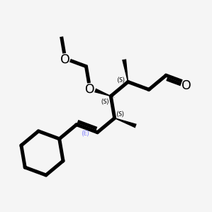 COCO[C@H]([C@@H](C)/C=C/C1CCCCC1)[C@@H](C)CC=O